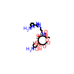 CC[C@H]1OC(=O)[C@H](C)C(=O)[C@H](C)[C@@H](O[C@@H]2O[C@H](C)CC(N)C2O)[C@](C)(OC)C[C@@H](C)C(=O)[C@H](C)[C@H]2N(C/C=C/Cn3cc(-c4cccc(N)n4)nn3)C(=O)O[C@]12C